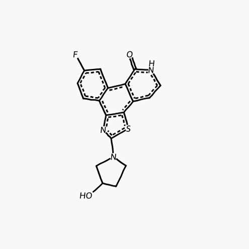 O=c1[nH]ccc2c3sc(N4CCC(O)C4)nc3c3ccc(F)cc3c12